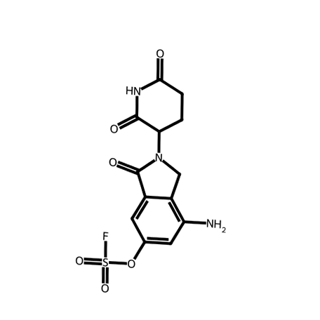 Nc1cc(OS(=O)(=O)F)cc2c1CN(C1CCC(=O)NC1=O)C2=O